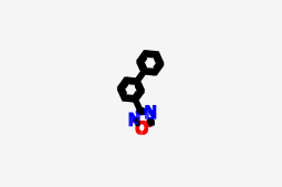 c1ccc(-c2cccc(-c3ncon3)c2)cc1